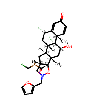 C[C@]12C=CC(=O)C=C1[C@@H](F)C[C@H]1[C@@H]3C[C@H]4CN(Cc5ccco5)O[C@@]4(C(=O)SCF)[C@@]3(C)C[C@H](O)[C@@]12F